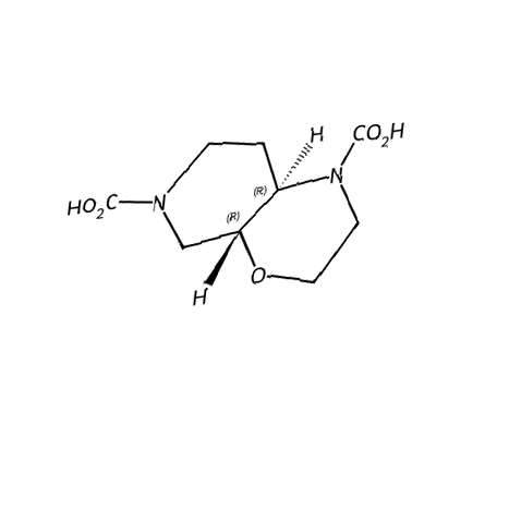 O=C(O)N1CC[C@@H]2[C@@H](C1)OCCN2C(=O)O